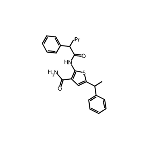 CC(c1ccccc1)c1cc(C(N)=O)c(NC(=O)C(c2ccccc2)C(C)C)s1